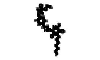 CCCCCCCn1c(=O)c(NCCc2ccc(SC(C)(C)C(=O)OCC)cc2)nn(C)c1=O